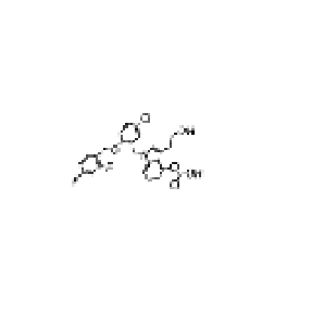 O=C(O)Oc1cccc2c1c(CCO)cn2Cc1cc(Cl)ccc1OCc1ccc(F)cc1F